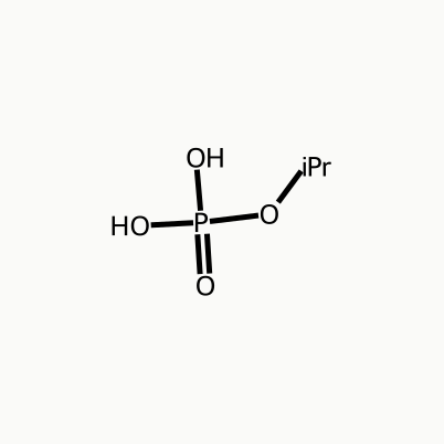 CC(C)OP(=O)(O)O